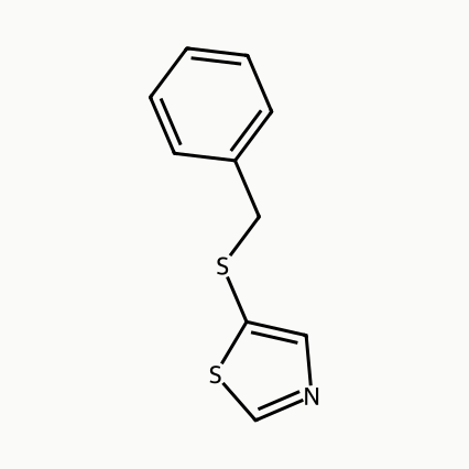 c1ccc(CSc2cncs2)cc1